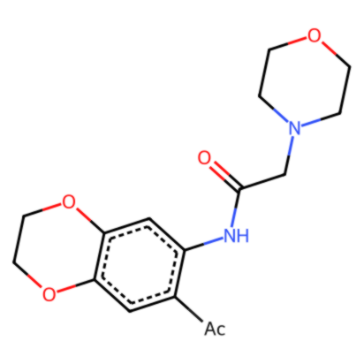 CC(=O)c1cc2c(cc1NC(=O)CN1CCOCC1)OCCO2